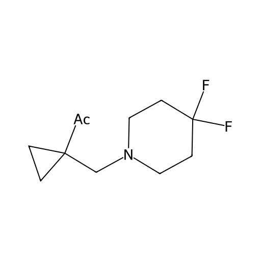 CC(=O)C1(CN2CCC(F)(F)CC2)CC1